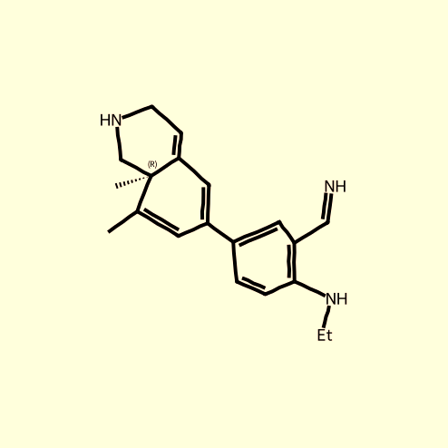 CCNc1ccc(C2=CC3=CCNC[C@]3(C)C(C)=C2)cc1C=N